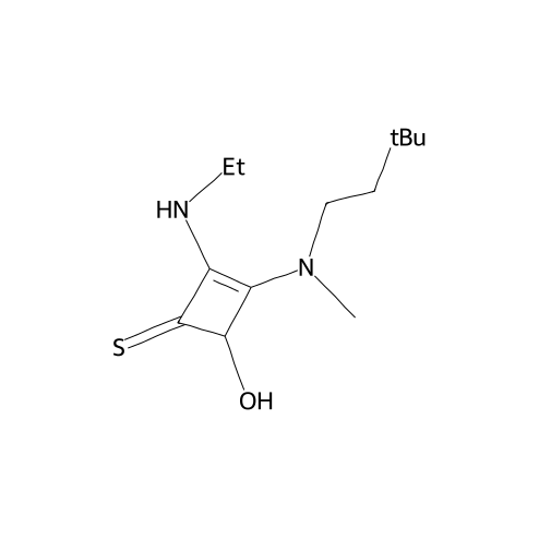 CCNC1=C(N(C)CCC(C)(C)C)C(O)C1=S